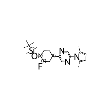 Cc1ccc(C)n1-c1cnc([C@@H]2CC[C@H](O[Si](C)(C)C(C)(C)C)[C@@H](F)C2)cn1